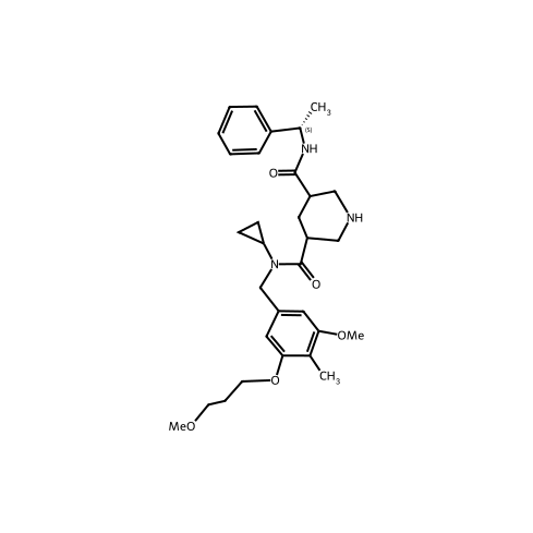 COCCCOc1cc(CN(C(=O)C2CNCC(C(=O)N[C@@H](C)c3ccccc3)C2)C2CC2)cc(OC)c1C